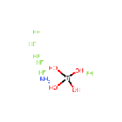 F.F.F.F.F.F.N.[OH][Ti]([OH])([OH])[OH]